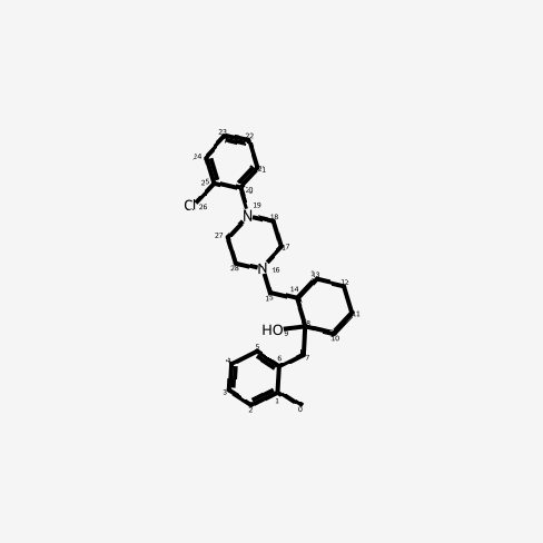 Cc1ccccc1CC1(O)CCCCC1CN1CCN(c2ccccc2Cl)CC1